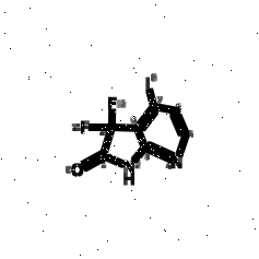 O=C1Nc2nccc(I)c2C1(F)F